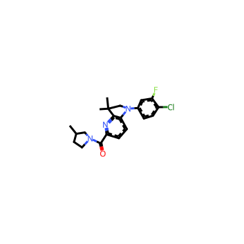 CC1CCN(C(=O)c2ccc3c(n2)C(C)(C)CN3c2ccc(Cl)c(F)c2)C1